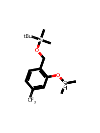 C[SiH](C)Oc1cc(C(F)(F)F)ccc1CO[Si](C)(C)C(C)(C)C